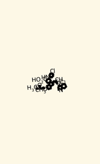 C[C@@H](COc1ccnc2c1[C@H](C)CCC2)CC1Cc2ccc(OCCC(=O)N(C)C)cc2C12CCC(Nc1cccc(Cl)c1)(C(=O)O)CC2